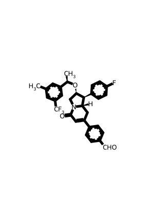 Cc1cc([C@@H](C)O[C@H]2CN3C(=O)C=C(c4ccc(C=O)cc4)C[C@H]3[C@@H]2c2ccc(F)cc2)cc(C(F)(F)F)c1